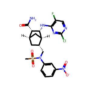 CS(=O)(=O)N(C[C@@H]1C[C@@H]2C[C@H]1[C@@H](Nc1nc(Cl)ncc1F)[C@H]2C(N)=O)c1cccc([N+](=O)[O-])c1